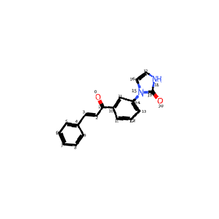 O=C(/C=C/c1ccccc1)c1cccc(-n2cc[nH]c2=O)c1